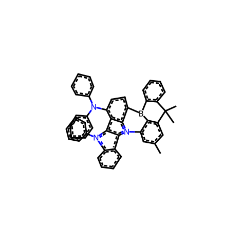 Cc1cc2c3c(c1)C(C)(C)c1ccccc1B3c1ccc(N(c3ccccc3)c3ccccc3)c3c1n-2c1c2ccccc2n(-c2ccccc2)c31